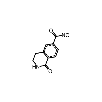 O=NC(=O)c1ccc2c(c1)CCNC2=O